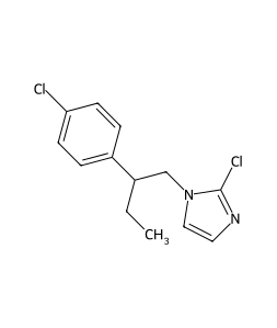 CCC(Cn1ccnc1Cl)c1ccc(Cl)cc1